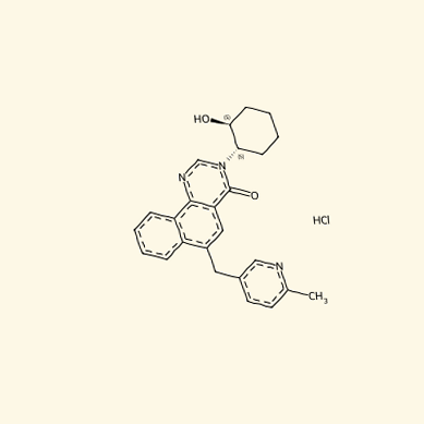 Cc1ccc(Cc2cc3c(=O)n([C@H]4CCCC[C@@H]4O)cnc3c3ccccc23)cn1.Cl